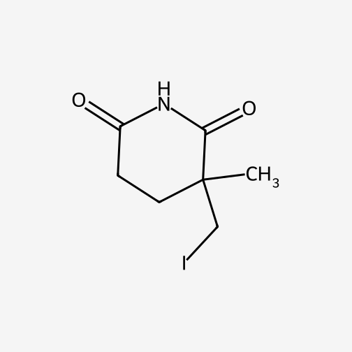 CC1(CI)CCC(=O)NC1=O